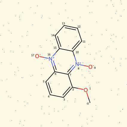 COc1cccc2c1[n+]([O-])c1ccccc1[n+]2[O-]